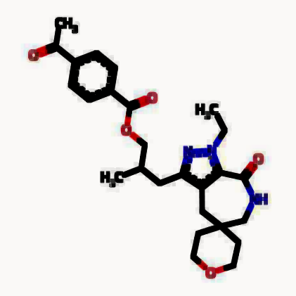 CCn1nc(CC(C)COC(=O)c2ccc(C(C)=O)cc2)c2c1C(=O)NCC1(CCOCC1)C2